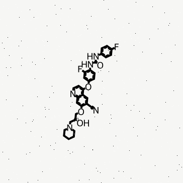 N#Cc1cc2c(Oc3ccc(NC(=O)Nc4ccc(F)cc4)c(F)c3)ccnc2cc1OC[C@H](O)CN1CCCCC1